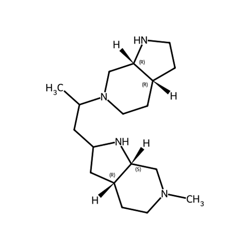 CC(CC1C[C@H]2CCN(C)C[C@H]2N1)N1CC[C@H]2CCN[C@H]2C1